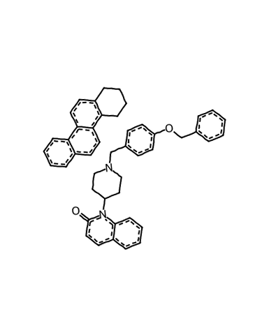 O=c1ccc2ccccc2n1C1CCN(Cc2ccc(OCc3ccccc3)cc2)CC1.c1ccc2c(c1)ccc1c3c(ccc12)CCCC3